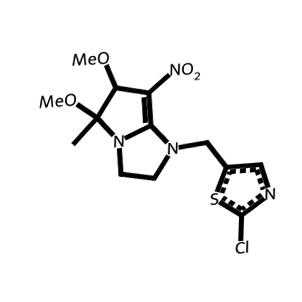 COC1C([N+](=O)[O-])=C2N(Cc3cnc(Cl)s3)CCN2C1(C)OC